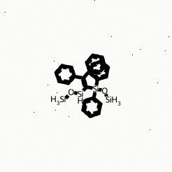 [SiH3]O[SiH2]C(=C(c1ccccc1)c1ccccc1)[Si](O[SiH3])(c1ccccc1)c1ccccc1